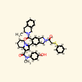 C[C@@H]1Cc2ccccc2CN1C(=O)c1cc2c(cc1-c1cc(C(=O)N(C)c3ccc(O)cc3)c3n1CCCC3)CN(C(=O)CSc1ccccc1)C2